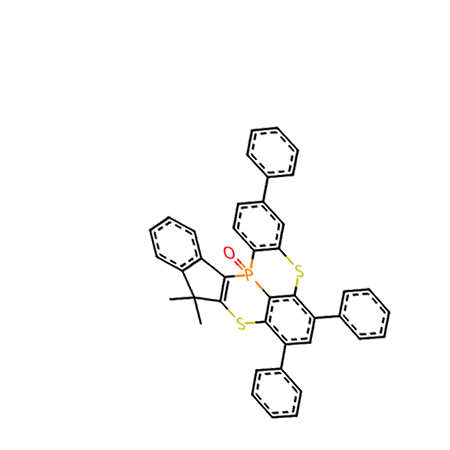 CC1(C)C2=C(c3ccccc31)P1(=O)c3ccc(-c4ccccc4)cc3Sc3c(-c4ccccc4)cc(-c4ccccc4)c(c31)S2